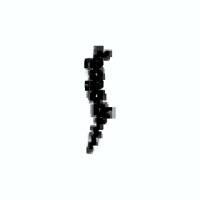 CCCCCCCCOc1ccc(-c2ccc(C(=O)Oc3ccc(C(=O)OCC(C)CC)cc3)cc2)cc1Cl